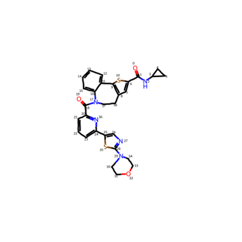 O=C(NC1CC1)c1cc2c(s1)-c1ccccc1N(C(=O)c1cccc(-c3cnc(N4CCOCC4)s3)n1)CC2